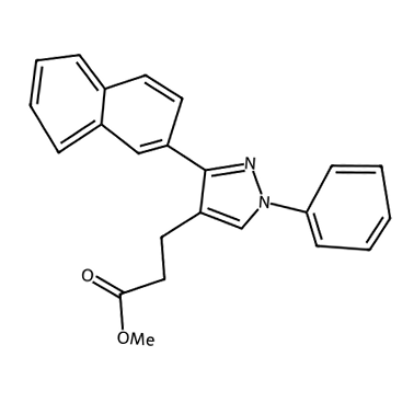 COC(=O)CCc1cn(-c2ccccc2)nc1-c1ccc2ccccc2c1